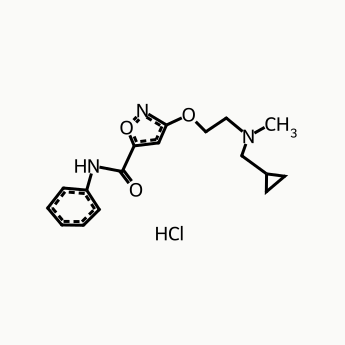 CN(CCOc1cc(C(=O)Nc2ccccc2)on1)CC1CC1.Cl